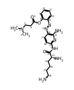 CN(C)CCC(=O)Oc1ccccc1/N=N/c1ccc(NC(=O)[C@@H](N)CCCCN)nc1N